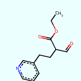 CCOC(=O)C(C=O)CCc1cccnc1